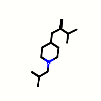 C=C(CC1CCN(CC(C)C)CC1)C(C)C